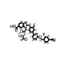 CO[C@@H](CNC(C)=O)Cn1c(Cc2ccc(-c3cccc(OCc4ccc(C#N)cc4F)n3)cc2F)nc2ccc(C(=O)O)cc21